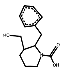 O=C(O)N1CCCC(CO)C1Cc1ccccc1